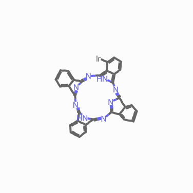 [Ir][c]1cccc2c3nc4nc(nc5[nH]c(nc6nc(nc([nH]3)c12)-c1ccccc1-6)c1ccccc51)-c1ccccc1-4